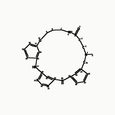 CN1CCC(=O)NCCCOc2cccc(c2)Nc2cc(ncn2)Nc2cccc(c2)C1